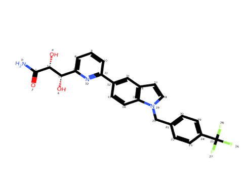 NC(=O)[C@H](O)[C@@H](O)c1cccc(-c2ccc3c(ccn3Cc3ccc(C(F)(F)F)cc3)c2)n1